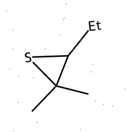 CCC1SC1(C)C